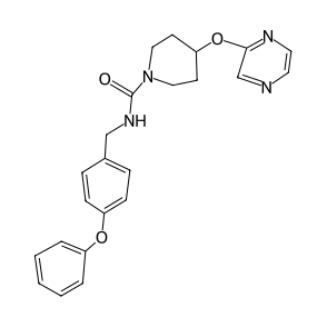 O=C(NCc1ccc(Oc2ccccc2)cc1)N1CCC(Oc2cnccn2)CC1